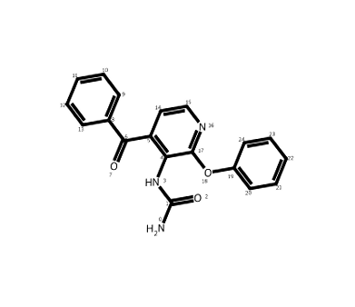 NC(=O)Nc1c(C(=O)c2ccccc2)ccnc1Oc1ccccc1